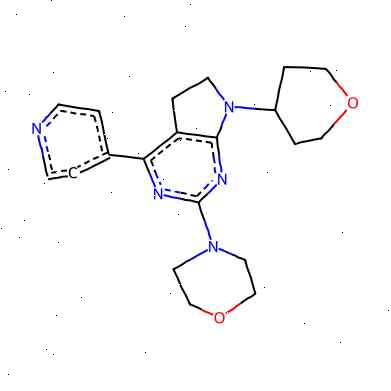 c1cc(-c2nc(N3CCOCC3)nc3c2CCN3C2CCOCC2)ccn1